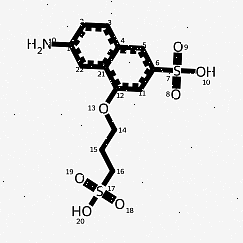 Nc1ccc2cc(S(=O)(=O)O)cc(OCCCS(=O)(=O)O)c2c1